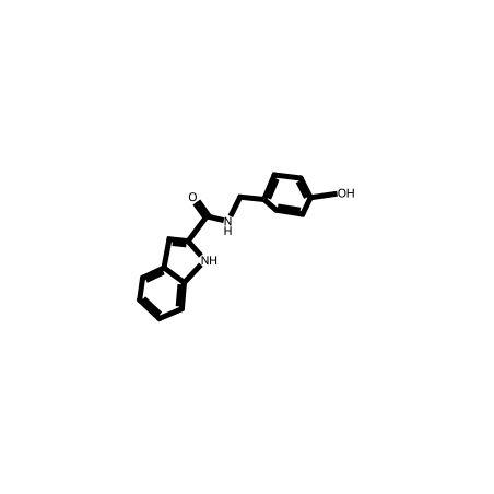 O=C(NCc1ccc(O)cc1)c1cc2ccccc2[nH]1